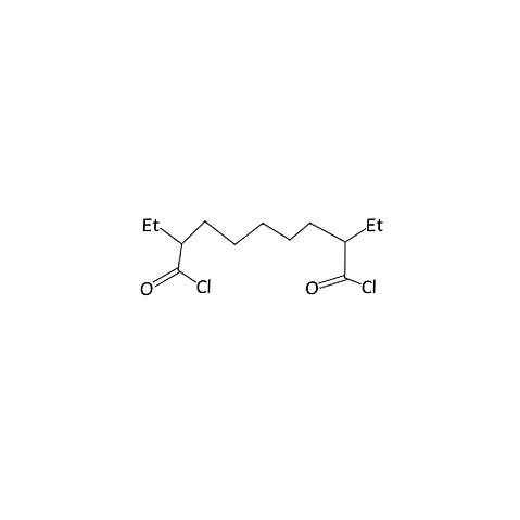 CCC(CCCCCC(CC)C(=O)Cl)C(=O)Cl